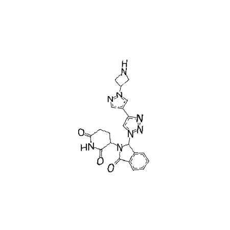 O=C1CCC(N2C(=O)c3ccccc3C2n2cc(-c3cnn(C4CNC4)c3)nn2)C(=O)N1